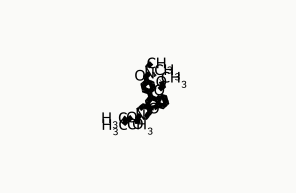 CCN(CC)C(=O)c1ccc(C2=CC3(CCN(C(=O)OC(C)(C)C)CC3)Oc3cccc(OCOC)c32)cc1